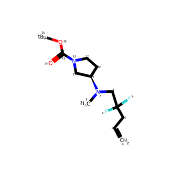 C=CCC(F)(F)CN(C)[C@@H]1CCN(C(=O)OC(C)(C)C)C1